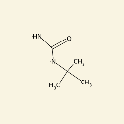 CC(C)(C)[N]C([NH])=O